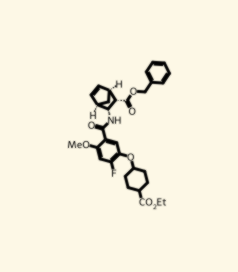 CCOC(=O)C1CCC(Oc2cc(C(=O)N[C@H]3[C@@H](C(=O)OCc4ccccc4)[C@@H]4C=C[C@H]3C4)c(OC)cc2F)CC1